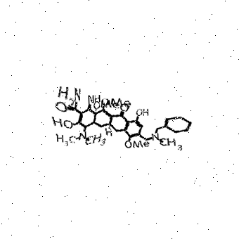 COC1=C2C(=O)c3c(O)cc(CN(C)CC4CCCCC4)c(OC)c3C[C@H]2CC2C(N(C)C)C(O)=C(C(N)=O)C(=N)[C@@]12OC